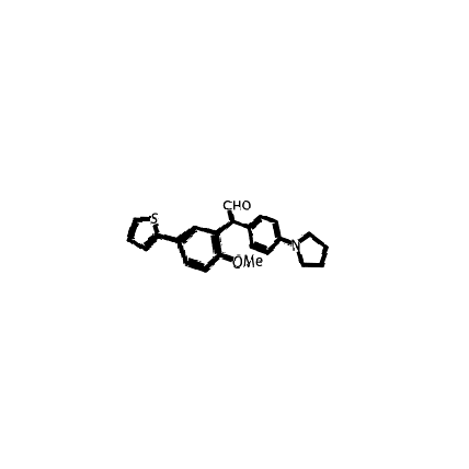 COc1ccc(-c2cccs2)cc1C(C=O)c1ccc(N2CCCC2)cc1